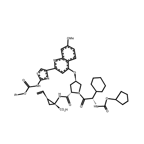 C=C[C@@H]1C[C@]1(NC(=O)[C@@H]1C[C@@H](Oc2cc(-c3csc(NC(=O)OC(C)C)n3)nc3cc(OC)ccc23)CN1C(=O)[C@@H](NC(=O)OC1CCCC1)C1CCCCC1)C(=O)O